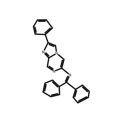 c1ccc(C(=Nc2cn3cc(-c4ccccc4)nc3cn2)c2ccccc2)cc1